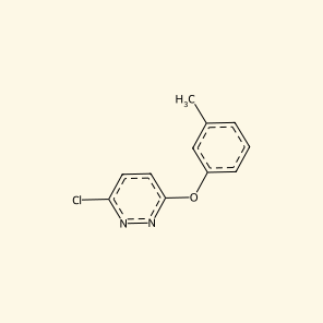 Cc1cccc(Oc2ccc(Cl)nn2)c1